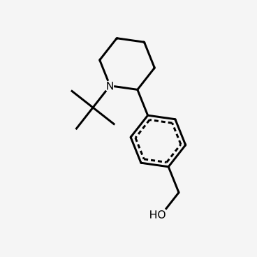 CC(C)(C)N1CCCCC1c1ccc(CO)cc1